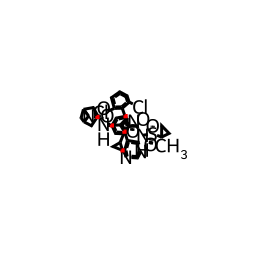 CC1(S(=O)(=O)NC(=O)c2ccc(NC(=O)N3C4CC(OCc5c(-c6c(Cl)cccc6Cl)noc5C5CC5)CC3C4)cc2-c2cncnc2)CC1